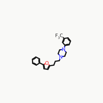 FC(F)(F)c1cccc(N2CCN(CCCc3ccc(-c4ccccc4)o3)CC2)c1